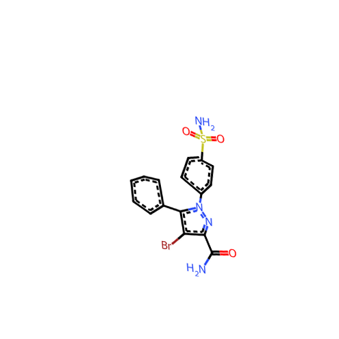 NC(=O)c1nn(-c2ccc(S(N)(=O)=O)cc2)c(-c2ccccc2)c1Br